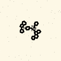 c1ccc(-c2nc(-c3ccc(-n4c5ccccc5c5ccc6ccccc6c54)cc3)nc(-c3cc4c5ccccc5ccc4c4ccccc34)n2)cc1